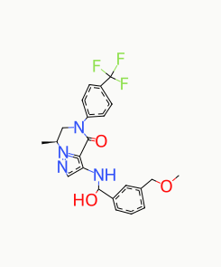 COCc1cccc(C(O)Nc2cnn3c2C(=O)N(c2ccc(C(F)(F)F)cc2)C[C@@H]3C)c1